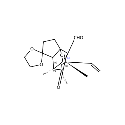 C=C[C@@]1(C)/C=C(/C=O)C23CC[C@@H](C)[C@@](C)(C(=O)C1)C2C1(CC3)OCCO1